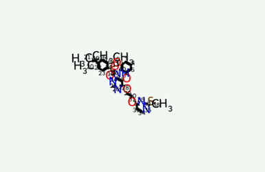 COc1cccc(Oc2c(NS(=O)(=O)c3ccc(C(C)(C)C)cc3)ncnc2OCCOc2ccnc(SC)n2)c1